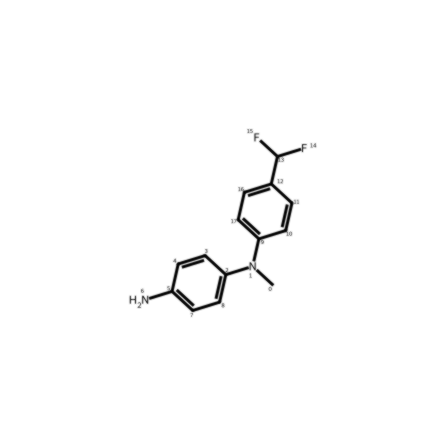 CN(c1ccc(N)cc1)c1ccc(C(F)F)cc1